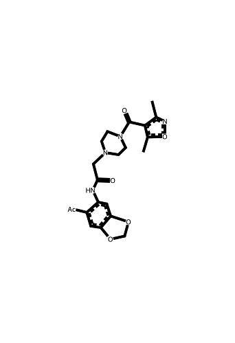 CC(=O)c1cc2c(cc1NC(=O)CN1CCN(C(=O)c3c(C)noc3C)CC1)OCO2